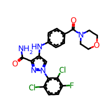 NC(=O)c1nn(-c2c(Cl)ccc(F)c2Cl)cc1Nc1ccc(C(=O)N2CCOCC2)cc1